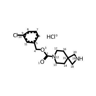 Cl.O=C(OCc1cccc(Cl)c1)N1CCC2(CC1)CNC2